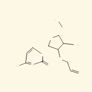 C=CCOC1C(O)[C@@H](CO)O[C@H]1n1ccc(N)nc1=O